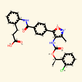 Cc1noc(-c2ccc(C(=O)Nc3ccccc3CCC(=O)O)cc2)c1NC(=O)O[C@H](C)c1ccccc1Cl